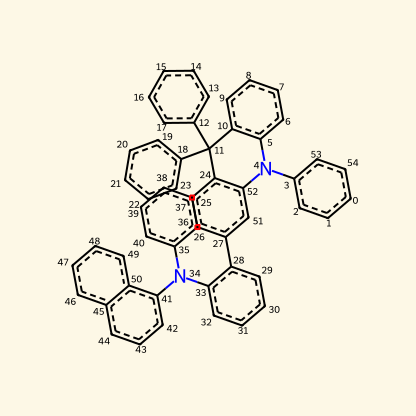 c1ccc(N2c3ccccc3C(c3ccccc3)(c3ccccc3)c3ccc(-c4ccccc4N(c4ccccc4)c4cccc5ccccc45)cc32)cc1